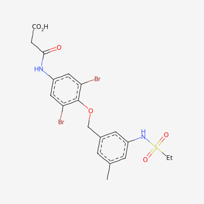 CCS(=O)(=O)Nc1cc(C)cc(COc2c(Br)cc(NC(=O)CC(=O)O)cc2Br)c1